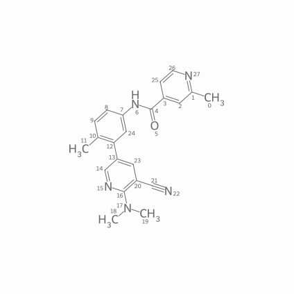 Cc1cc(C(=O)Nc2ccc(C)c(-c3cnc(N(C)C)c(C#N)c3)c2)ccn1